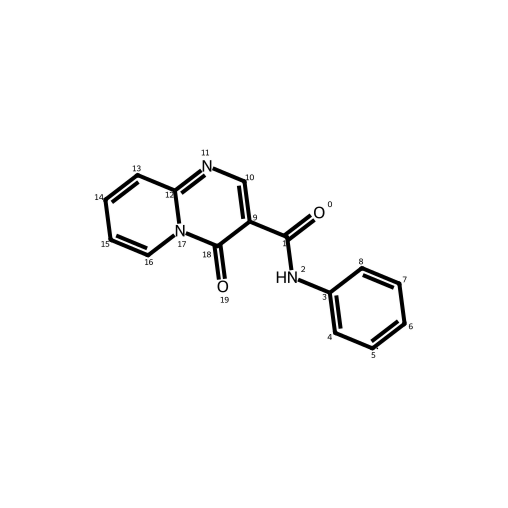 O=C(Nc1c[c]ccc1)c1cnc2ccccn2c1=O